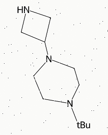 CC(C)(C)N1CCN(C2CNC2)CC1